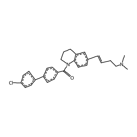 CN(C)CC/C=C/c1ccc2c(c1)CCCN2C(=O)c1ccc(-c2ccc(Cl)cc2)cc1